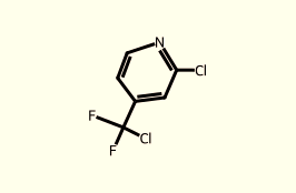 FC(F)(Cl)c1ccnc(Cl)c1